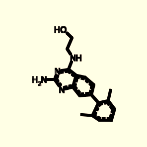 Cc1cccc(C)c1-c1ccc2c(NCCO)nc(N)nc2c1